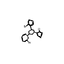 Clc1ccccc1C1CC(c2ccccc2Br)CC(C2C=C/C=C\C=C(\Br)C2)C1